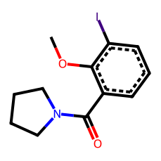 COc1c(I)cccc1C(=O)N1CCCC1